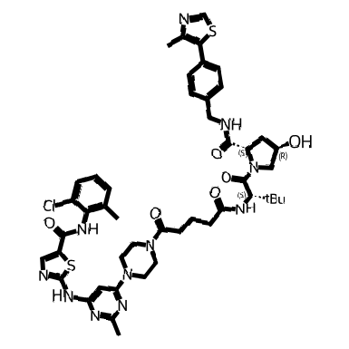 Cc1nc(Nc2ncc(C(=O)Nc3c(C)cccc3Cl)s2)cc(N2CCN(C(=O)CCCC(=O)N[C@H](C(=O)N3C[C@H](O)C[C@H]3C(=O)NCc3ccc(-c4scnc4C)cc3)C(C)(C)C)CC2)n1